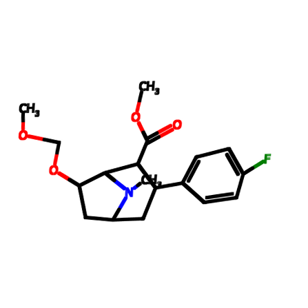 COCOC1CC2CC(c3ccc(F)cc3)C(C(=O)OC)C1N2C